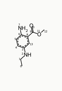 CCNc1ccc(N)c(C(=O)OC)c1